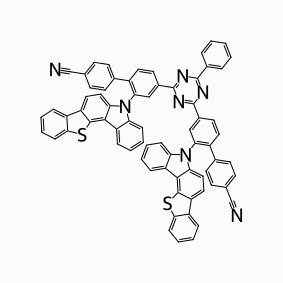 N#Cc1ccc(-c2ccc(-c3nc(-c4ccccc4)nc(-c4ccc(-c5ccc(C#N)cc5)c(-n5c6ccccc6c6c7sc8ccccc8c7ccc65)c4)n3)cc2-n2c3ccccc3c3c4sc5ccccc5c4ccc32)cc1